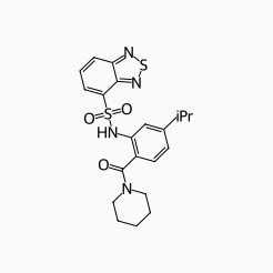 CC(C)c1ccc(C(=O)N2CCCCC2)c(NS(=O)(=O)c2cccc3nsnc23)c1